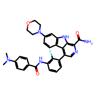 CN(C)c1ccc(C(=O)Nc2cccc(-c3cnc(C(N)=O)c4[nH]c5cc(N6CCOCC6)ccc5c34)c2F)cc1